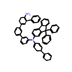 NC1=C(c2ccccc2)C=C(c2cccc(-c3cccc(N(C4=CCC(C5=CCCC=C5)C=C4)c4ccc5c(c4)C(c4ccccc4)(c4ccccc4)c4ccccc4-5)c3)c2)CC1